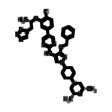 C[C@@H]1CN(C2CCC(n3cc(Nc4ncc(-c5ccc(Cl)c(O[C@@H](C)Cn6cnnn6)c5)cn4)c(OCc4ccccc4)n3)CC2)C[C@H](C)O1